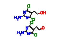 Nc1nc(Cl)c(CC=O)c(Cl)n1.Nc1nc(Cl)c(CCO)c(Cl)n1